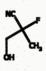 CC(F)(C#N)CO